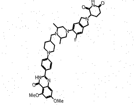 COc1cc(OC)c2c(=O)[nH]c(-c3ccc(N4CCC(CN5C(C)CN(c6cc7c(cc6F)CN(C6CCC(=O)NC6=O)C7)CC5C)CC4)cc3)nc2c1